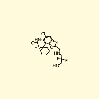 O=C1Nc2c(Cl)cc3nc(CNCC(F)(F)CO)oc3c2C2(CCCCC2)N1